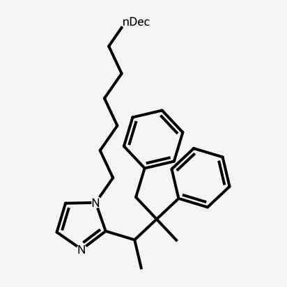 CCCCCCCCCCCCCCCCn1ccnc1C(C)C(C)(Cc1ccccc1)c1ccccc1